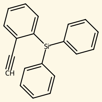 C#Cc1ccccc1[Si](c1ccccc1)c1ccccc1